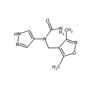 Cc1noc(C)c1CN(C(N)=O)c1cn[nH]c1